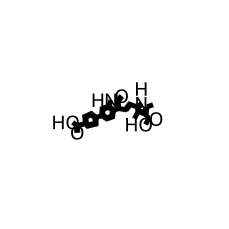 Cc1[nH]c(C=CC2C(=O)Nc3cc(-c4ccc(C(=O)O)cc4)ccc32)c(C)c1C(=O)O